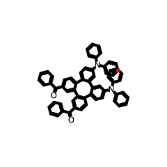 O=C(c1ccccc1)c1ccc2c(c1)-c1cc(C(=O)c3ccccc3)ccc1-c1ccc(N(c3ccccc3)c3ccccc3)cc1-c1cc(N(c3ccccc3)c3ccccc3)ccc1-2